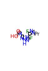 Cc1nc2c(F)cc(-c3nc(Nc4ccc(N5CCOC[C@H]5CO)cn4)ncc3F)cc2n1C(C)C